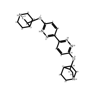 c1cc(-c2ccc(OC3CN4CCC3CC4)nn2)nnc1OC1CN2CCC1CC2